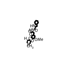 COc1cc2cc(NC(=O)c3cc4ccccc4[nH]3)c(=O)oc2c(C)c1OC1CCCN(C)C1